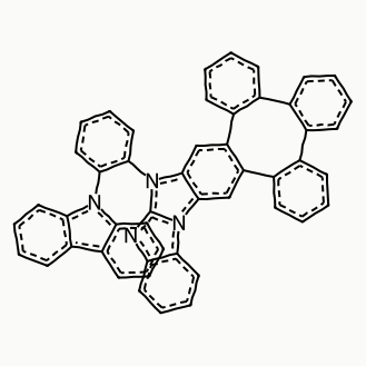 c1ccc2c(c1)-c1ccccc1-c1cc3c(cc1-c1ccccc1-2)n1c2ccccc2nc1n3-c1ccccc1-n1c2ccccc2c2ccccc21